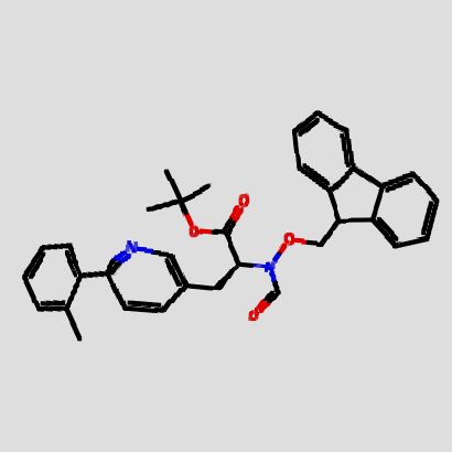 Cc1ccccc1-c1ccc(C[C@@H](C(=O)OC(C)(C)C)N(C=O)OCC2c3ccccc3-c3ccccc32)cn1